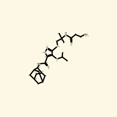 CC(C)Sc1c(OCC(C)(C)NC(=O)CCN)noc1C(=O)NC1C2CC3CC(C2)CC1C3